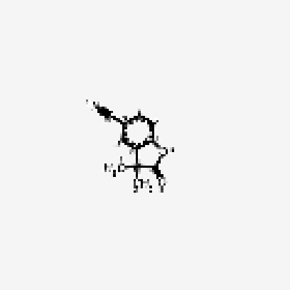 CC1(C)C(=O)Oc2ccc(C#N)cc21